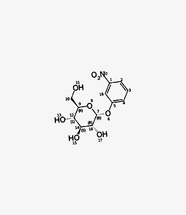 O=[N+]([O-])c1cccc(O[C@H]2O[C@H](CO)[C@@H](O)[C@H](O)[C@H]2O)c1